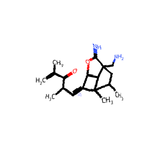 C=C(C)C(=O)C(C)/C=C1\C2OC(=N)C3(CN)CC(C)C1(C)C23